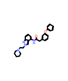 O=C(Cc1cccc(Oc2ccccc2)c1)Nc1cccc2nn(CCN3CCCCC3)cc12